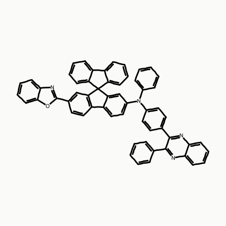 c1ccc(-c2nc3ccccc3nc2-c2ccc(N(c3ccccc3)c3ccc4c(c3)C3(c5ccccc5-c5ccccc53)c3cc(-c5nc6ccccc6o5)ccc3-4)cc2)cc1